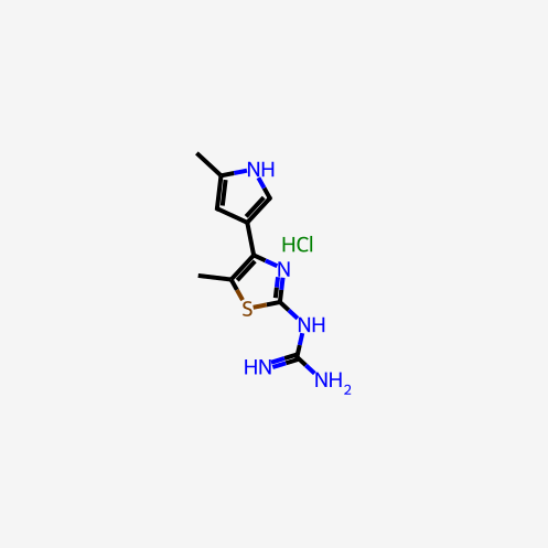 Cc1cc(-c2nc(NC(=N)N)sc2C)c[nH]1.Cl